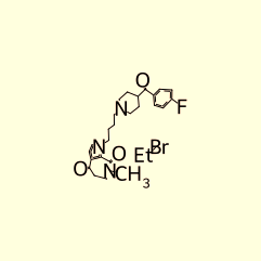 CCBr.CN1CCC(=O)c2ccn(CCCCN3CCC(C(=O)c4ccc(F)cc4)CC3)c2C1=O